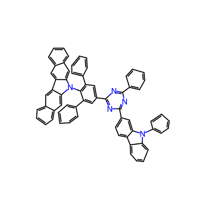 c1ccc(-c2nc(-c3cc(-c4ccccc4)c(-n4c5cc6ccccc6cc5c5cc6ccccc6cc54)c(-c4ccccc4)c3)nc(-c3ccc4c5ccccc5n(-c5ccccc5)c4c3)n2)cc1